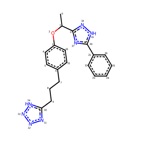 CC(Oc1ccc(CCCc2nnn[nH]2)cc1)c1n[nH]c(-c2ccccc2)n1